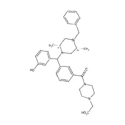 C[C@@H]1CN(C(c2cccc(O)c2)c2cccc(C(=O)N3CCN(CC(=O)O)CC3)c2)[C@H](C)CN1Cc1ccccc1